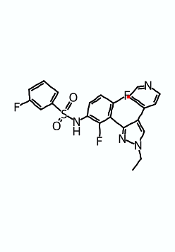 CCn1cc(-c2ccncc2)c(-c2c(F)ccc(NS(=O)(=O)c3cccc(F)c3)c2F)n1